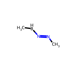 CBN=NC